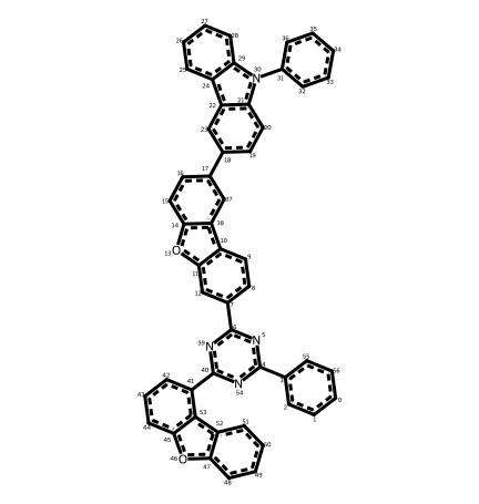 c1ccc(-c2nc(-c3ccc4c(c3)oc3ccc(-c5ccc6c(c5)c5ccccc5n6-c5ccccc5)cc34)nc(-c3cccc4oc5ccccc5c34)n2)cc1